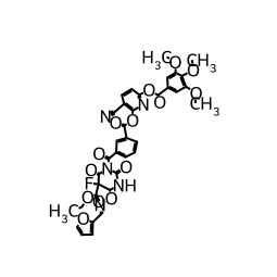 CCOC(=O)C1(F)C(=O)N(C(=O)c2cccc(C(=O)Oc3nc(OC(=O)c4cc(OC)c(OC)c(OC)c4)ccc3C#N)c2)C(=O)NC1O/N=C/c1ccco1